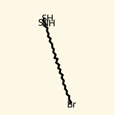 S=C(S)NCCCCCCCCCCCCCCCCCCCCCCCCCCCCCCBr